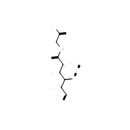 [N-]=[N+]=NC([C@@H](O)C=O)[C@H](O)[C@@H](O)C(=O)NCC(=O)O